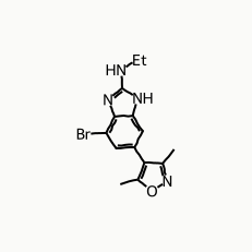 CCNc1nc2c(Br)cc(-c3c(C)noc3C)cc2[nH]1